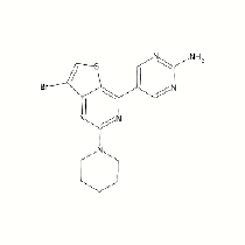 Nc1ncc(-c2nc(N3CCCCC3)nc3c(Br)csc23)cn1